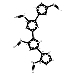 O=Pc1csc(-c2sc(-c3sc(-c4sccc4P=O)cc3P=O)cc2P=O)c1